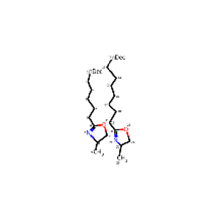 CCCCCCCCCCCCCCCC1=NC(C)CO1.CCCCCCCCCCCCCCCCCC1=NC(C)CO1